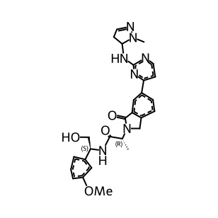 COc1cccc([C@@H](CO)NC(=O)[C@@H](C)N2Cc3ccc(-c4ccnc(NC5CC=NN5C)n4)cc3C2=O)c1